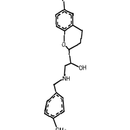 COc1ccc(CNCC(O)C2CCc3cc(F)ccc3O2)cc1